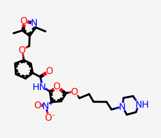 Cc1noc(C)c1COc1cccc(C(=O)Nc2oc(OCCCCCN3CCNCC3)cc2[N+](=O)[O-])c1